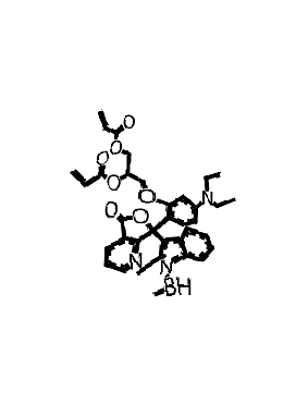 C=CC(=O)OCC(COc1cc(N(CC)CC)ccc1C1(c2c(C)n(BC)c3ccccc23)OC(=O)c2cccnc21)OC(=O)C=C